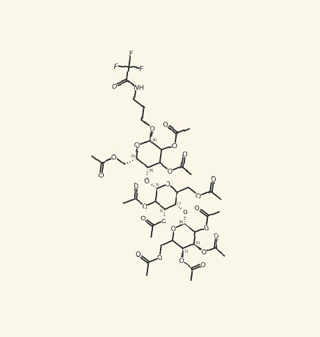 CC(=O)OCC1O[C@H](O[C@H]2C(COC(C)=O)O[C@@H](O[C@H]3C(OC(C)=O)C(OC(C)=O)[C@H](OCCCNC(=O)C(F)(F)F)O[C@H]3COC(C)=O)C(OC(C)=O)[C@H]2OC(C)=O)C(OC(C)=O)[C@@H](OC(C)=O)[C@H]1OC(C)=O